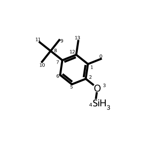 Cc1c(O[SiH3])ccc(C(C)(C)C)c1C